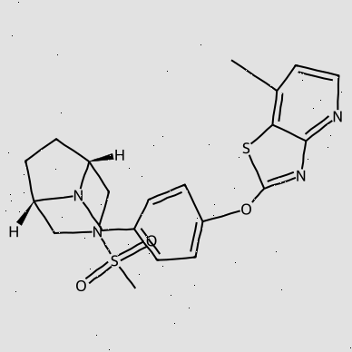 Cc1ccnc2nc(Oc3ccc(CN4[C@@H]5CC[C@H]4CN(S(C)(=O)=O)C5)cc3)sc12